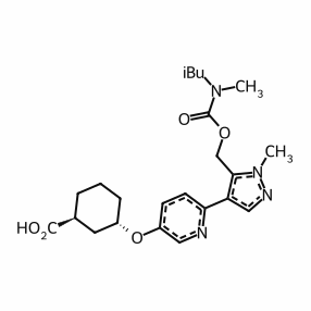 CCC(C)N(C)C(=O)OCc1c(-c2ccc(O[C@H]3CCC[C@H](C(=O)O)C3)cn2)cnn1C